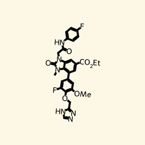 CCOC(=O)c1cc(-c2cc(F)c(OCc3nnc[nH]3)c(OC)c2)c2c(c1)n(CC(=O)Nc1ccc(F)cc1)c(=O)n2C